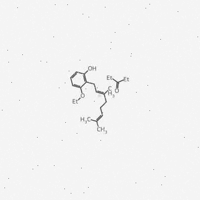 CCC(=O)CC.CCOc1cccc(O)c1C/C=C(\C)CCC=C(C)C